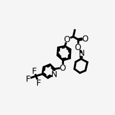 CC(Oc1ccc(Oc2ccc(C(F)(F)F)cn2)cc1)C(=O)ON=C1CCCCC1